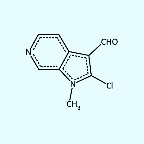 Cn1c(Cl)c(C=O)c2ccncc21